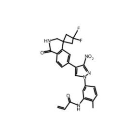 C=CC(=O)Nc1cc(-n2cc(-c3ccc4c(c3)C3(CNC4=O)CC(F)(F)C3)c([N+](=O)[O-])n2)ccc1C